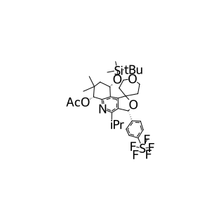 CC(=O)O[C@H]1c2nc(C(C)C)c3c(c2[C@@H](O[Si](C)(C)C(C)(C)C)CC1(C)C)C1(CCOCC1)O[C@@H]3c1ccc(S(F)(F)(F)(F)F)cc1